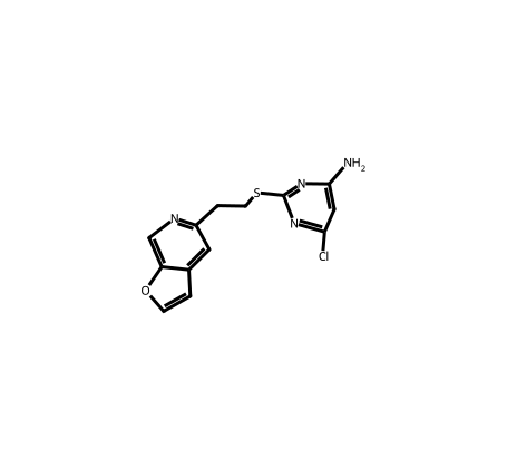 Nc1cc(Cl)nc(SCCc2cc3ccoc3cn2)n1